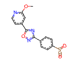 COc1cc(-c2nc(-c3ccc([SH](=O)=O)cc3)no2)ccn1